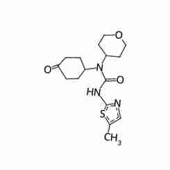 Cc1cnc(NC(=O)N(C2CCOCC2)C2CCC(=O)CC2)s1